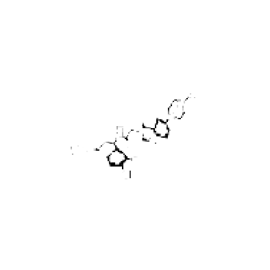 COCCC(NC(=O)Cn1cnc2ccc(N3CCN(C(C)=O)CC3)cc2c1=O)c1ccc(Cl)c(Cl)c1